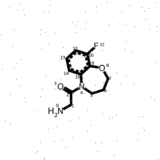 NCC(=O)N1CCCOc2c(F)cccc21